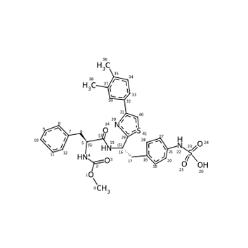 COC(=O)N[C@@H](Cc1ccccc1)C(=O)N[C@@H](Cc1ccc(NS(=O)(=O)O)cc1)c1nc(-c2ccc(C)c(C)c2)cs1